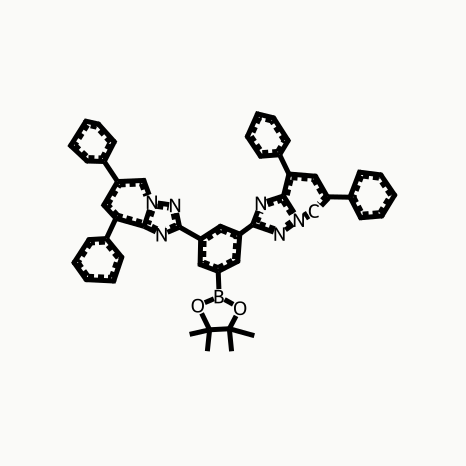 CC1(C)OB(c2cc(-c3nc4c(-c5ccccc5)cc(-c5ccccc5)cn4n3)cc(-c3nc4c(-c5ccccc5)cc(-c5ccccc5)cn4n3)c2)OC1(C)C